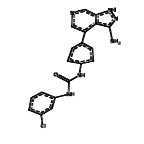 Nc1n[nH]c2cncc(-c3ccc(NC(=O)Nc4cccc(Cl)c4)cc3)c12